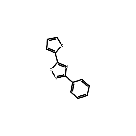 c1ccc(-c2noc(-c3cccs3)n2)cc1